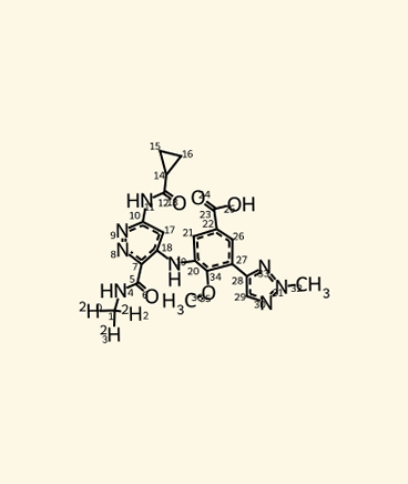 [2H]C([2H])([2H])NC(=O)c1nnc(NC(=O)C2CC2)cc1Nc1cc(C(=O)O)cc(-c2cnn(C)n2)c1OC